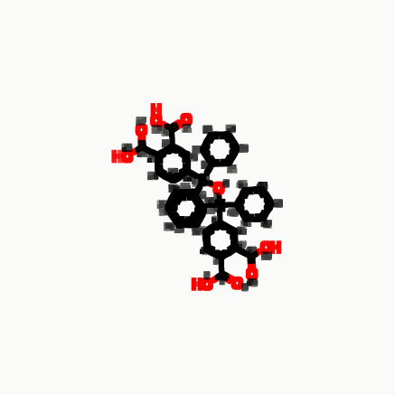 O=C(O)c1ccc([Si](O[Si](c2ccccc2)(c2ccccc2)c2ccc(C(=O)O)c(C(=O)O)c2)(c2ccccc2)c2ccccc2)cc1C(=O)O